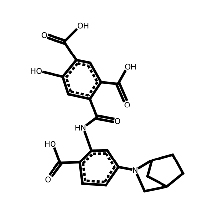 O=C(O)c1cc(C(=O)O)c(C(=O)Nc2cc(N3CC4CCC3C4)ccc2C(=O)O)cc1O